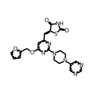 O=C1NC(=O)C(=Cc2cc(OCc3ccco3)nc(N3CCN(c4cncnc4)CC3)n2)S1